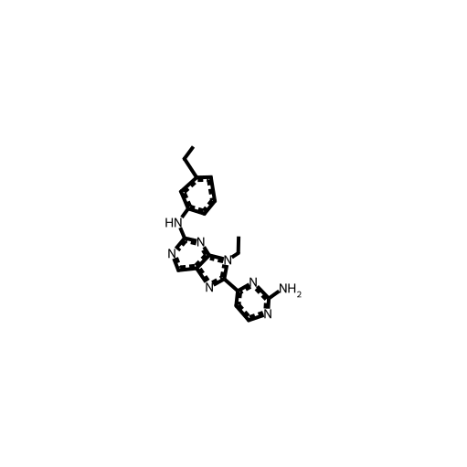 CCc1cccc(Nc2ncc3nc(-c4ccnc(N)n4)n(CC)c3n2)c1